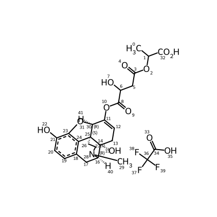 CC(OC(=O)CC(O)C(=O)OC1=CC[C@@]2(O)[C@H]3Cc4ccc(O)c5c4[C@@]2(CCN3C)[C@H]1O5)C(=O)O.O=C(O)C(F)(F)F